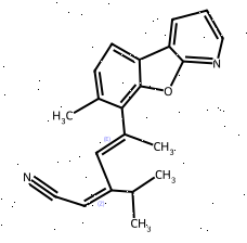 C/C(=C\C(=C/C#N)C(C)C)c1c(C)ccc2c1oc1ncccc12